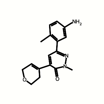 Cc1ccc(N)cc1-c1cc(C2=CCOCC2)c(=O)n(C)n1